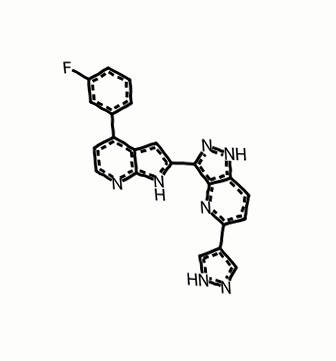 Fc1cccc(-c2ccnc3[nH]c(-c4n[nH]c5ccc(-c6cn[nH]c6)nc45)cc23)c1